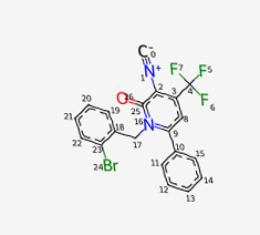 [C-]#[N+]c1c(C(F)(F)F)cc(-c2ccccc2)n(Cc2ccccc2Br)c1=O